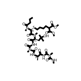 CCCC(=O)N(C)[C@H](SCCCCC(C(=O)OC)C(=O)OC)C(=O)N(C)[C@@H](CC(C)(C)O)C(=O)NC(=O)N(C)C(=O)N[C@H](C)C(=O)NC(=O)N(C)C(=O)NC